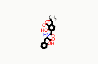 CC1Cc2ccc(C(=O)NC(Cc3ccccc3)C(=O)O)c(O)c2C(=O)O1